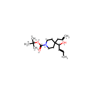 C=CCC1(C(O)/C=C/C)CCN(C(=O)OC(C)(C)C)CC1